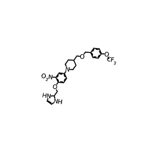 O=[N+]([O-])c1cc(N2CCC(COCc3ccc(OC(F)(F)F)cc3)CC2)ccc1OCC1NC=CN1